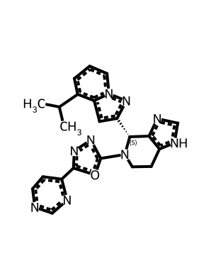 CC(C)c1cccn2nc([C@@H]3c4nc[nH]c4CCN3c3nnc(-c4ccncn4)o3)cc12